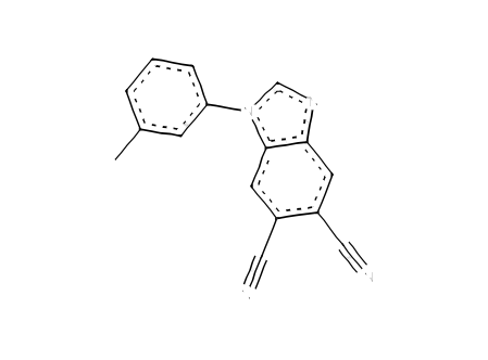 Cc1cccc(-n2cnc3cc(C#N)c(C#N)cc32)c1